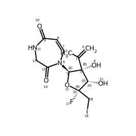 C=C(C)[C@]1(O)[C@H](N2C=CC(=O)NCC2=O)O[C@](F)(CI)[C@H]1O